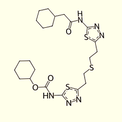 O=C(CC1CCCCC1)Nc1nnc(CCSCCc2nnc(NC(=O)OC3CCCCC3)s2)s1